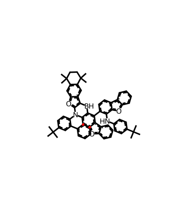 CC(C)(C)c1ccc(Nc2c(-c3c4c(cc5oc6ccccc6c35)N(c3ccc(C(C)(C)C)cc3-c3ccccc3)c3oc5cc6c(cc5c3B4)C(C)(C)CCC6(C)C)ccc3c2oc2ccccc23)cc1